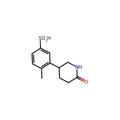 Cc1ccc(S(=O)(=O)O)cc1C1CCC(=O)NC1